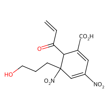 C=CC(=O)C1C(C(=O)O)=CC([N+](=O)[O-])=CC1(CCCO)[N+](=O)[O-]